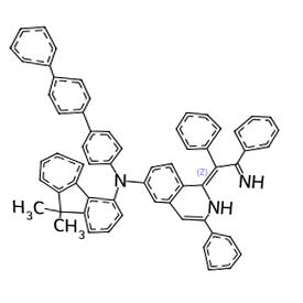 CC1(C)c2ccccc2-c2c(N(c3ccc(-c4ccc(-c5ccccc5)cc4)cc3)c3ccc4c(c3)C=C(c3ccccc3)N/C4=C(\C(=N)c3ccccc3)c3ccccc3)cccc21